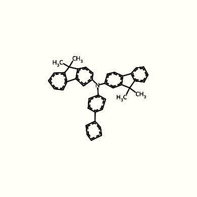 CC1(C)c2ccccc2-c2cc(N(c3ccc(-c4ccccc4)cc3)c3ccc4c(c3)C(C)(C)c3ccccc3-4)ccc21